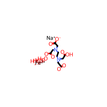 O.O.O.O.O=C([O-])CN(CCN(CC(=O)[O-])CC(=O)O)CC(=O)[O-].[Fe+2].[Na+]